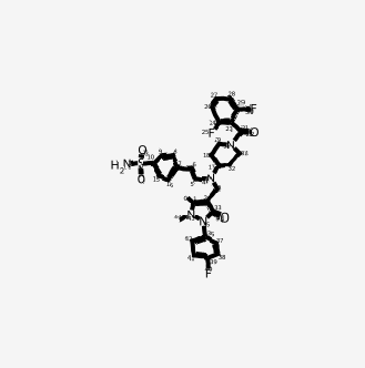 Cc1c(CN(CCc2ccc(S(N)(=O)=O)cc2)C2CCN(C(=O)c3c(F)cccc3F)CC2)c(=O)n(-c2ccc(F)cc2)n1C